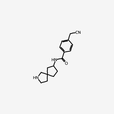 N#CCc1ccc(C(=O)NC2CCC3(CCNC3)C2)cc1